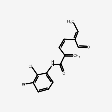 C=C(/C=C\C(C=O)=C/C)C(=O)Nc1cccc(Br)c1Cl